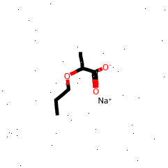 CCCOC(C)C(=O)[O-].[Na+]